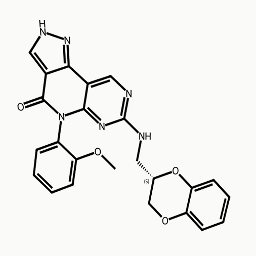 COc1ccccc1-n1c(=O)c2c[nH]nc2c2cnc(NC[C@H]3COc4ccccc4O3)nc21